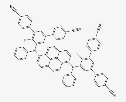 N#Cc1ccc(-c2cc(-c3ccc(C#N)cc3)c(F)c(N(c3ccccc3)c3ccc4ccc5c(N(c6ccccc6)c6cc(-c7ccc(C#N)cc7)cc(-c7ccc(C#N)cc7)c6F)ccc6ccc3c4c65)c2)cc1